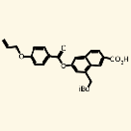 C=CCOc1ccc(C(=O)Oc2cc(CC(C)CC)c3cc(C(=O)O)ccc3c2)cc1